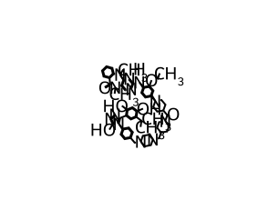 CCOc1cc(N2CCC(C(=O)N3CCC(CN4CCN(Cc5ccc(-n6c(O)nnc6-c6cc(C(C)C)c(O)cc6O)cc5)CC4)CC3)CC2)ccc1Nc1ncc2c(n1)N(C)c1ccccc1C(=O)N2C